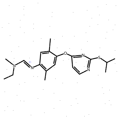 CCN(C)/C=N/c1cc(C)c(Oc2ccnc(SC(C)C)n2)cc1C